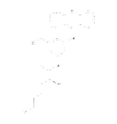 NCCCC[C@H](N)C(=O)Nc1cc(CO)cc(Nc2c3ccccc3nc3ccccc23)c1